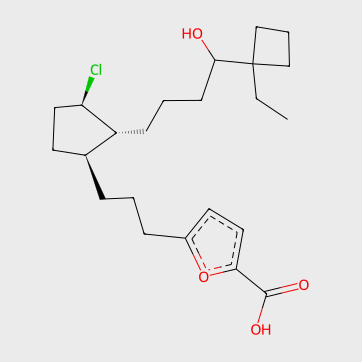 CCC1(C(O)CCC[C@@H]2[C@@H](CCCc3ccc(C(=O)O)o3)CC[C@H]2Cl)CCC1